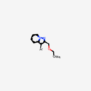 COCOCc1nn2ccccc2c1C(C)=O